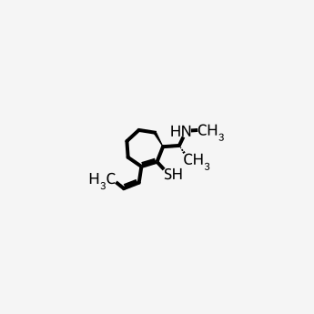 C/C=C\C1=C(S)[C@H]([C@@H](C)NC)CCCC1